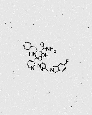 NC(=O)C(O)C(Cc1ccccc1)NC(=O)c1cccnc1-n1ccc(CN2Cc3ccc(F)cc3C2)n1